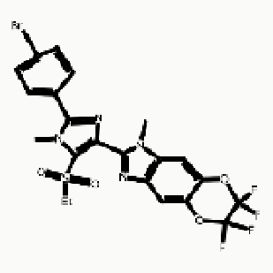 CCS(=O)(=O)c1c(-c2nc3cc4c(cc3n2C)OC(F)(F)C(F)(F)O4)nc(-c2ccc(Br)cc2)n1C